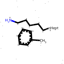 CCCCCCCCCCCCN.Cc1ccccc1